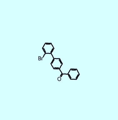 O=C(c1ccccc1)c1ccc(-c2ccccc2Br)cc1